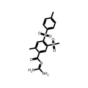 Cc1ccc(S(=O)(=O)c2cc(C)c(C(=O)N=C(N)N)cc2S(C)(=O)=O)cc1